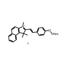 CCCCCCOc1ccc(C=CC2=[N+](C)c3ccc4ccccc4c3C2(C)C)cc1.[I-]